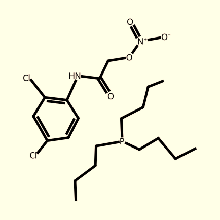 CCCCP(CCCC)CCCC.O=C(CO[N+](=O)[O-])Nc1ccc(Cl)cc1Cl